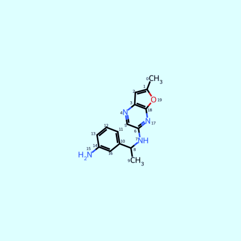 Cc1cc2ncc(NC(C)c3cccc(N)c3)nc2o1